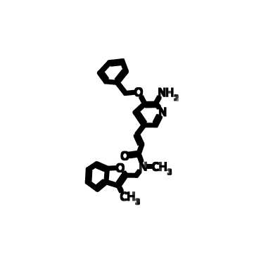 Cc1c(CN(C)C(=O)C=Cc2cnc(N)c(OCc3ccccc3)c2)oc2ccccc12